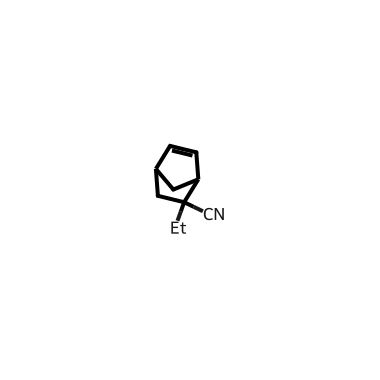 CCC1(C#N)CC2C=CC1C2